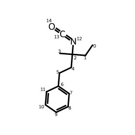 CCC(C)(CCc1ccccc1)N=C=O